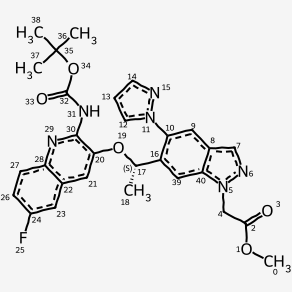 COC(=O)Cn1ncc2cc(-n3cccn3)c([C@H](C)Oc3cc4cc(F)ccc4nc3NC(=O)OC(C)(C)C)cc21